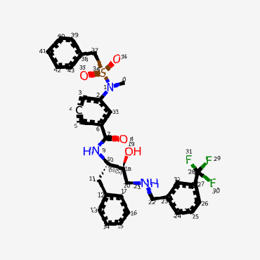 CN(c1cccc(C(=O)N[C@@H](Cc2ccccc2)[C@@H](O)CNCc2cccc(C(F)(F)F)c2)c1)S(=O)(=O)Cc1ccccc1